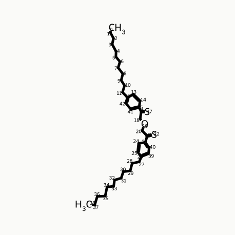 CCCCCCCCCCCCc1ccc(C(=S)COCC(=S)c2ccc(CCCCCCCCCCCC)cc2)cc1